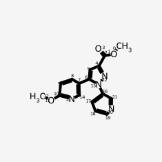 COC(=O)c1cc(-c2ccc(OC)nc2)n(-c2cccnc2)n1